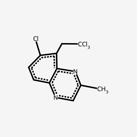 Cc1cnc2ccc(Cl)c(CC(Cl)(Cl)Cl)c2n1